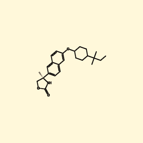 CCC(C)(C)C1CCC(Oc2ccc3cc([C@]4(C)COC(=O)N4)ccc3c2)CC1